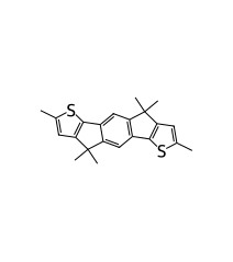 Cc1cc2c(s1)-c1cc3c(cc1C2(C)C)-c1sc(C)cc1C3(C)C